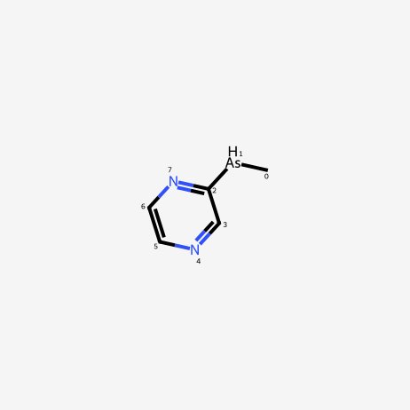 C[AsH]c1cnccn1